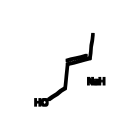 CC=CCO.[NaH]